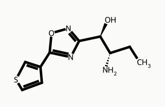 CC[C@H](N)[C@H](O)c1noc(-c2ccsc2)n1